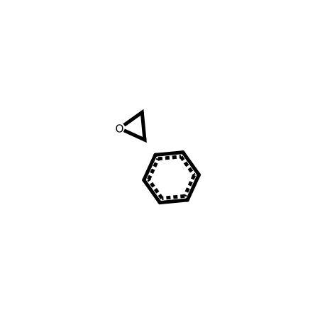 C1CO1.c1ccccc1